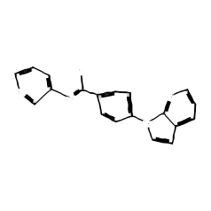 N/C(=N\c1cccnc1)c1ccc(-n2ccc3cccnc32)cc1